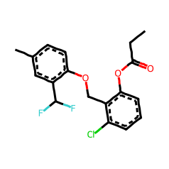 CCC(=O)Oc1cccc(Cl)c1COc1ccc(C)cc1C(F)F